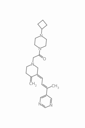 C=C1CCN(CC(=O)N2CCN(C3CCC3)CC2)C/C1=C/C=C(\C)c1cncnc1